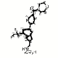 O=C(O)NCc1cc2cc(-c3ccc(C(=O)N4CCOCC4)cn3)cc(C(F)(F)CF)c2o1